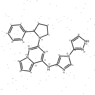 c1ccc(C2CCCN2c2nc(Nc3cn(-c4cc[nH]n4)cn3)c3cccn3n2)nc1